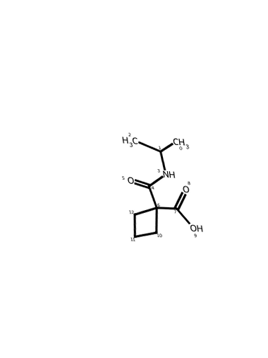 CC(C)NC(=O)C1(C(=O)O)CCC1